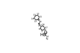 CCBOc1ccc(SCc2ccccc2)cc1